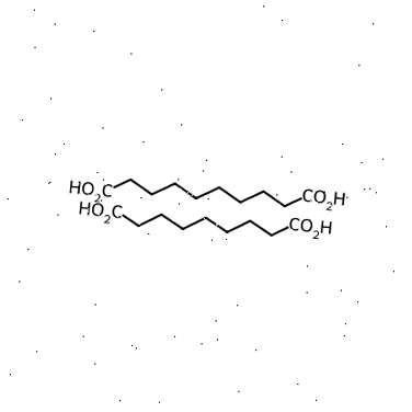 O=C(O)CCCCCCCC(=O)O.O=C(O)CCCCCCCCC(=O)O